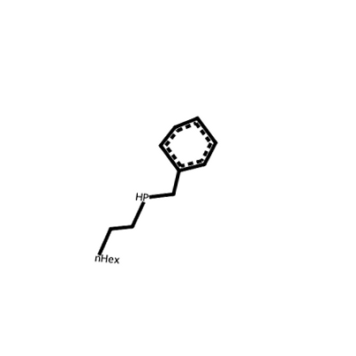 CCCCCCCCPCc1ccccc1